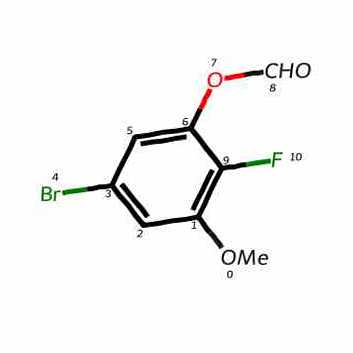 COc1cc(Br)cc(OC=O)c1F